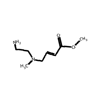 COC(=O)/C=C/CN(C)CCN